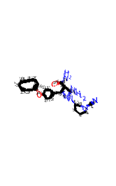 N#CN1CCC[C@@H](n2nc(-c3ccc(Oc4ccccc4)cc3)c(C(N)=O)c2N)C1